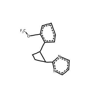 FC(F)(F)Oc1ccccc1[C]1CCC1c1ncccn1